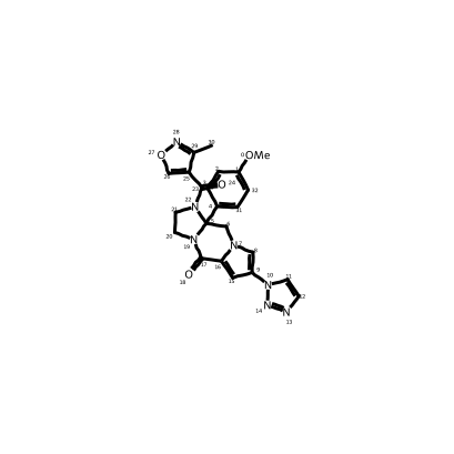 COc1ccc(C23Cn4cc(-n5ccnn5)cc4C(=O)N2CCN3C(=O)c2conc2C)cc1